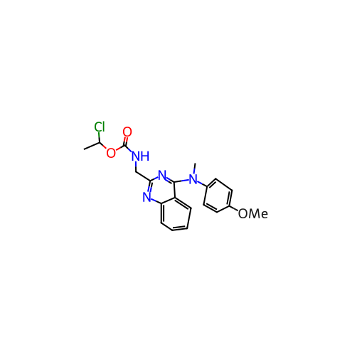 COc1ccc(N(C)c2nc(CNC(=O)OC(C)Cl)nc3ccccc23)cc1